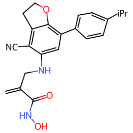 C=C(CNc1cc(-c2ccc(C(C)C)cc2)c2c(c1C#N)CCO2)C(=O)NO